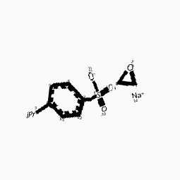 C1CO1.CC(C)c1ccc(S(=O)(=O)[O-])cc1.[Na+]